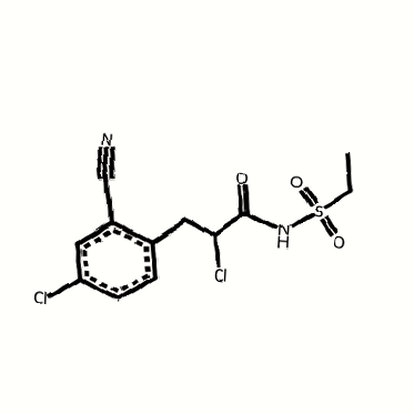 CCS(=O)(=O)NC(=O)C(Cl)Cc1c[c]c(Cl)cc1C#N